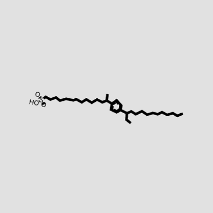 CCCCCCCCCCCC(CC)c1ccc(C(C)CCCCCCCCCCCCS(=O)(=O)O)cc1